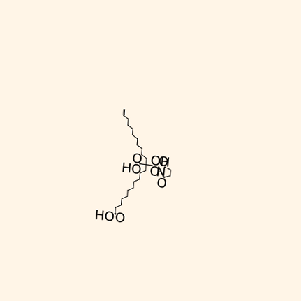 C=CCCCCCCCCCC(CCCCCCCCCCC(=O)O)(C(=O)O)C(O)ON1C(=O)CCC1=O